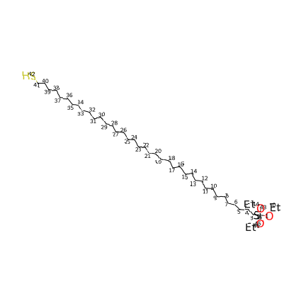 CCO[Si](CCCCCCCCCCCCCCCCCCCCCCCCCCCCCCCCCCCCCCCS)(OCC)OCC